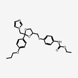 CCCOc1ccc(C2(Cn3ccnc3)OCC(CSc3ccc(NC(=O)OCC)cc3)O2)cc1